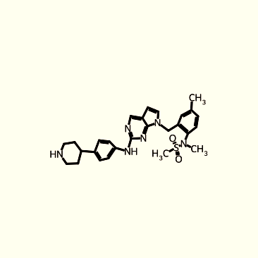 Cc1ccc(N(C)S(C)(=O)=O)c(Cn2ccc3cnc(Nc4ccc(C5CCNCC5)cc4)nc32)c1